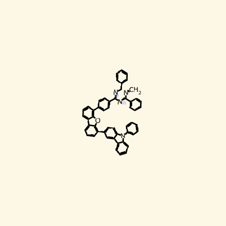 C=N/C(=N\C(=N/Cc1ccccc1)c1ccc(-c2cccc3c2oc2c(-c4ccc5c(c4)c4ccccc4n5-c4ccccc4)cccc23)cc1)c1ccccc1